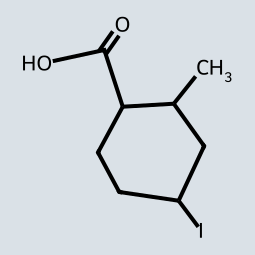 CC1CC(I)CCC1C(=O)O